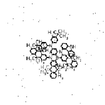 CC(C)(C)c1ccc(N(c2ccc(C(C)(C)C)cc2)c2cc3c4c(c2)N(c2cccc5c2-c2ccccc2B5)c2cc5c(cc2B4c2cc4c(cc2N3c2ccc3c(c2)C(C)(C)c2ccccc2C3(C)C)C(C)(C)c2ccccc2C4(C)C)C(C)(C)c2ccccc2C5(C)C)cc1